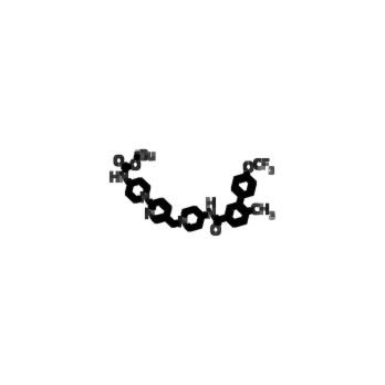 Cc1ccc(C(=O)NC2CCN(Cc3ccc(N4CCC(NC(=O)OC(C)(C)C)CC4)nc3)CC2)cc1-c1ccc(OC(F)(F)F)cc1